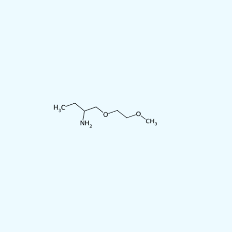 CCC(N)COCCOC